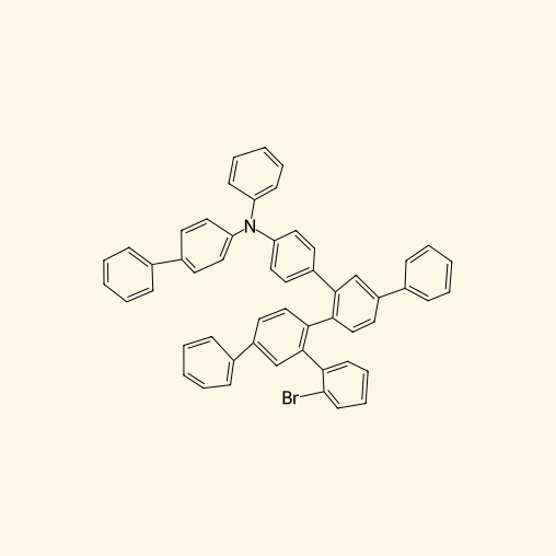 Brc1ccccc1-c1cc(-c2ccccc2)ccc1-c1ccc(-c2ccccc2)cc1-c1ccc(N(c2ccccc2)c2ccc(-c3ccccc3)cc2)cc1